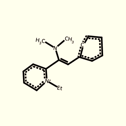 CC[n+]1ccccc1C(=Cc1ccccc1)N(C)C